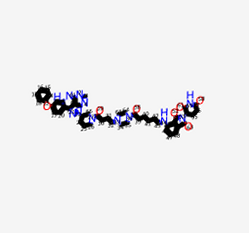 Nc1ncnc2c1c(-c1ccc(Oc3ccccc3)cc1)nn2[C@@H]1CCCN(C(=O)CCCN2CCN(C(=O)CCCCCNc3cccc4c3C(=O)N(C3CCC(=O)NC3=O)C4=O)CC2)C1